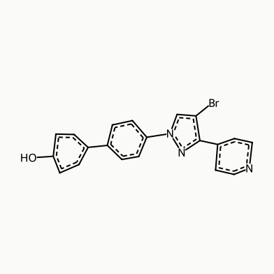 Oc1ccc(-c2ccc(-n3cc(Br)c(-c4ccncc4)n3)cc2)cc1